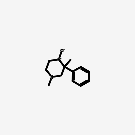 CN1CC[S+]([O-])C(C)(c2ccccc2)C1